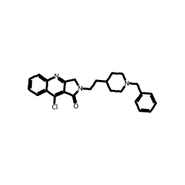 O=C1c2c(nc3ccccc3c2Cl)CN1CCC1CCN(Cc2ccccc2)CC1